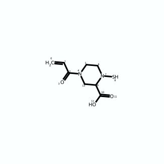 C=CC(=O)N1CCN(S)C(C(=O)O)C1